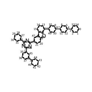 c1ccc(-c2ccc(-c3ccc(-c4cccc5c4oc4ccc(-c6nc(-c7ccccc7)nc(-c7cccc(-c8ccccc8)c7)n6)cc45)cc3)cc2)cc1